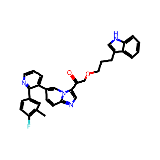 Cc1cc(-c2ncccc2-c2ccc3ncc(C(=O)COCCCc4c[nH]c5ccccc45)n3c2)ccc1F